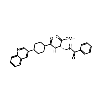 COC(=O)[C@H](CNC(=O)c1ccccc1)NC(=O)C1CCN(c2cnc3ccccc3c2)CC1